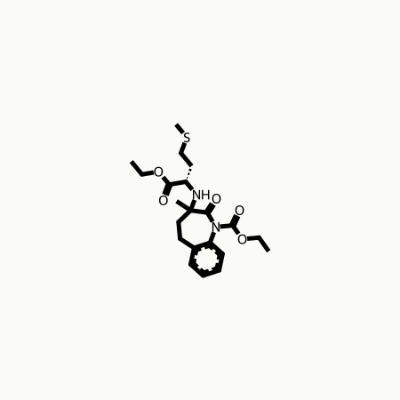 CCOC(=O)[C@H](CCSC)NC1(C)CCc2ccccc2N(C(=O)OCC)C1=O